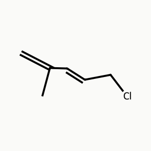 C=C(C)C=CCCl